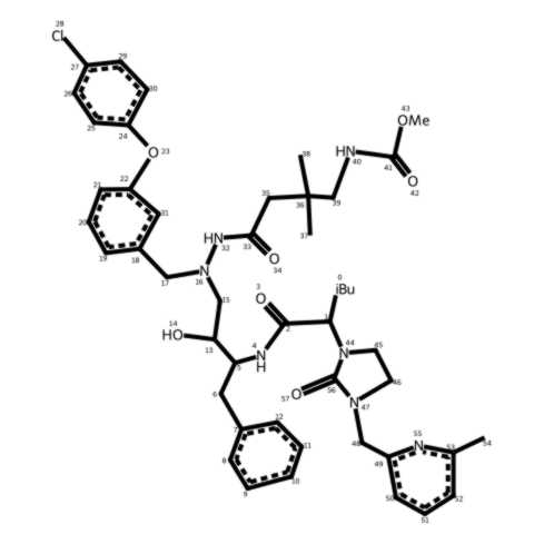 CCC(C)C(C(=O)NC(Cc1ccccc1)C(O)CN(Cc1cccc(Oc2ccc(Cl)cc2)c1)NC(=O)CC(C)(C)CNC(=O)OC)N1CCN(Cc2cccc(C)n2)C1=O